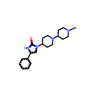 CC(C)N1CCC(N2CCC(n3cc(-c4ccccc4)[nH]c3=O)CC2)CC1